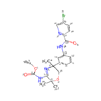 CC(C)(C)OC(=O)NC1=NC(C)(c2cccc(NC(=O)c3ccc(Br)cn3)c2)COC1(C)C(F)(F)F